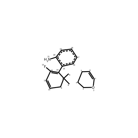 C1=COCCC1.CC1(C)CC=CC(F)=C1c1ccccc1N